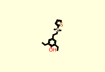 CCc1cc(CC[Si](C)(C)c2cccs2)cc(CC)c1O